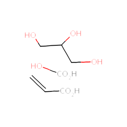 C=CC(=O)O.O=C(O)O.OCC(O)CO